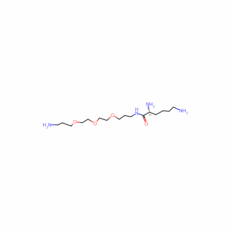 NCCCC[C@H](N)C(=O)NCCCOCCOCCOCCCN